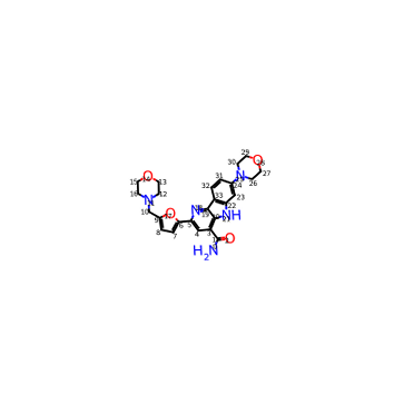 NC(=O)c1cc(-c2ccc(CN3CCOCC3)o2)nc2c1[nH]c1cc(N3CCOCC3)ccc12